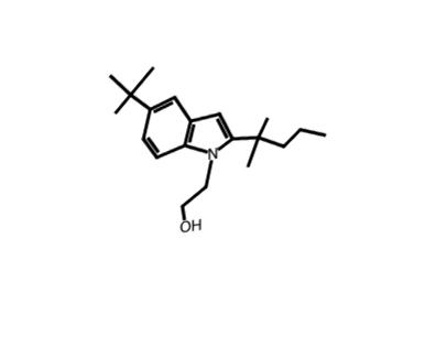 CCCC(C)(C)c1cc2cc(C(C)(C)C)ccc2n1CCO